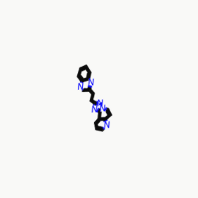 c1ccc2nc(CCc3nc4c5cccnc5ccn4n3)cnc2c1